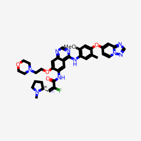 COc1cc(Oc2ccn3ncnc3c2)c(C)cc1Nc1ncnc2cc(OCCN3CCOCC3)c(NC(=O)/C(F)=C\[C@H]3CCCN3C)cc12